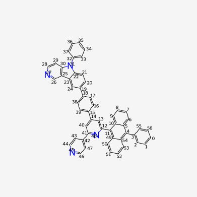 c1ccc(-c2c3ccccc3c(-c3cc(-c4ccc(-c5ccc6c(c5)c5cnccc5n6-c5ccccc5)cc4)cc(-c4ccncc4)n3)c3ccccc23)cc1